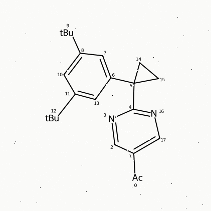 CC(=O)c1cnc(C2(c3cc(C(C)(C)C)cc(C(C)(C)C)c3)CC2)nc1